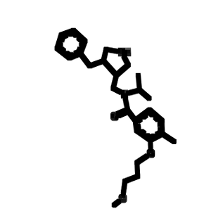 COCCCOc1cc(C(=O)N(CC2CNCC2Cc2ccccc2)C(C)C)ccc1C